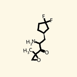 CC1(C(=O)C(N)C[C@H]2CCC(F)(F)C2)CO1